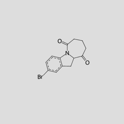 O=C1CCCC(=O)N2c3ccc(Br)cc3CC12